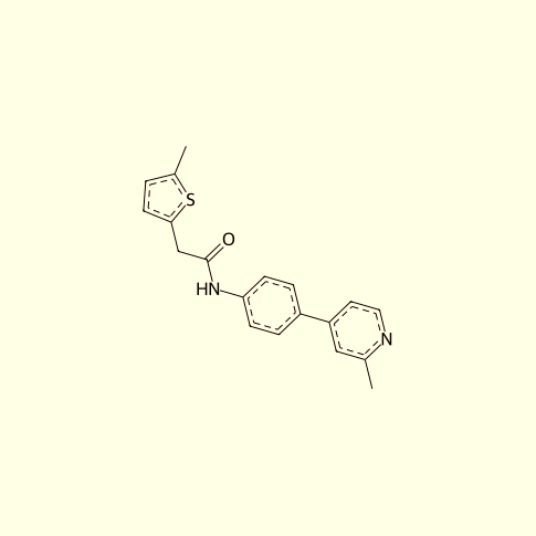 Cc1cc(-c2ccc(NC(=O)Cc3ccc(C)s3)cc2)ccn1